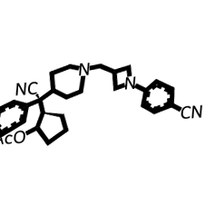 CC(=O)OC1CCC[C@@H]1[C@@](C#N)(c1ccccc1)C1CCN(CC2CN(c3ccc(C#N)cc3)C2)CC1